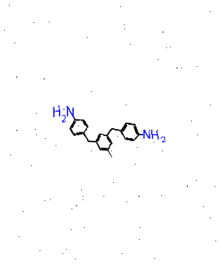 Cc1cc(Cc2ccc(N)cc2)cc(Cc2ccc(N)cc2)c1